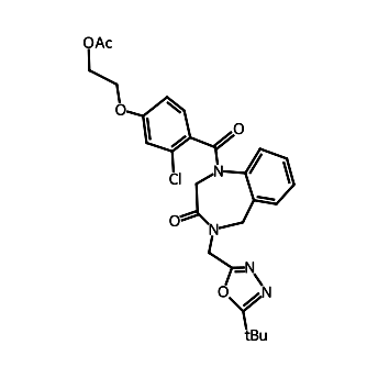 CC(=O)OCCOc1ccc(C(=O)N2CC(=O)N(Cc3nnc(C(C)(C)C)o3)Cc3ccccc32)c(Cl)c1